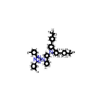 Cc1cccc(-c2nc(-c3cccc(C)c3)nc(-n3c4ccccc4c4cc(-n5c6ccc(-c7ccc(C(C)(C)C)cc7)cc6c6cc(-c7ccc(C(C)(C)C)cc7)ccc65)ccc43)n2)c1